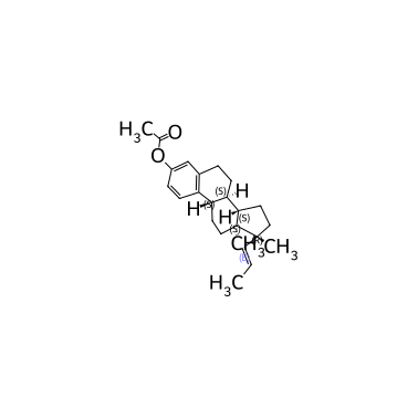 C/C=C/[C@@]1(C)CC[C@H]2[C@@H]3CCc4cc(OC(C)=O)ccc4[C@H]3CC[C@@]21C